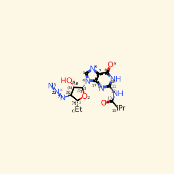 CC[C@H]1O[C@@H](n2cnc3c(=O)[nH]c(NC(=O)C(C)C)nc32)[C@@H](O)[C@@H]1N=[N+]=[N-]